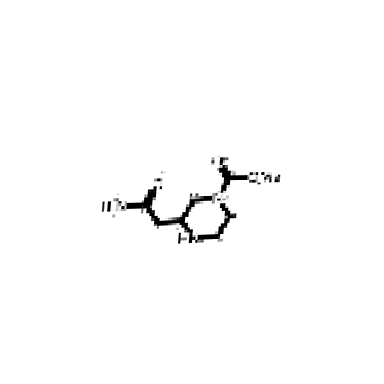 COC(=O)N1CCNC(CC(N)=O)C1